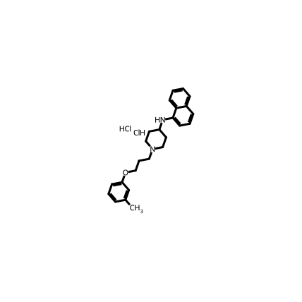 Cc1cccc(OCCCN2CCC(Nc3cccc4ccccc34)CC2)c1.Cl.Cl